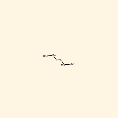 [TeH][Mo][S][S][Mo][TeH]